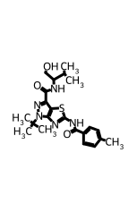 Cc1ccc(C(=O)Nc2nc3c(s2)c(C(=O)NC(CO)C(C)C)nn3C(C)(C)C)cc1